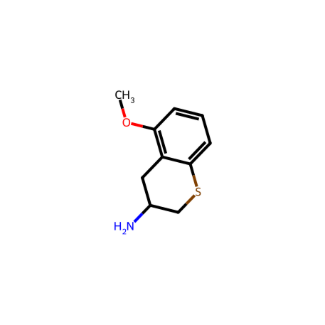 COc1cccc2c1CC(N)CS2